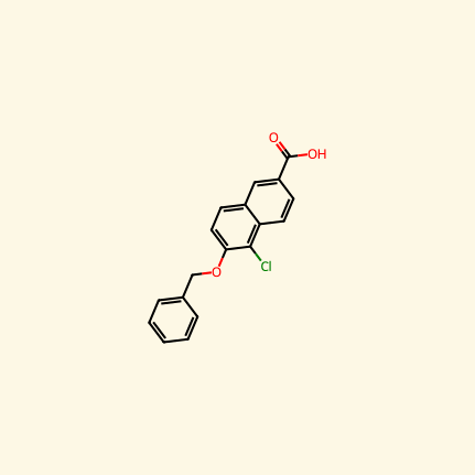 O=C(O)c1ccc2c(Cl)c(OCc3ccccc3)ccc2c1